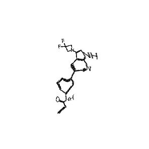 C=CC(=O)Nc1cccc(-c2cnc3[nH]cc(N4CC(F)(F)C4)c3c2)c1